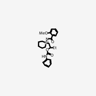 CCC(C[N+]1([N-]C(=O)c2ccccc2OC)CCCCC1)OC(=O)Nc1ccccc1